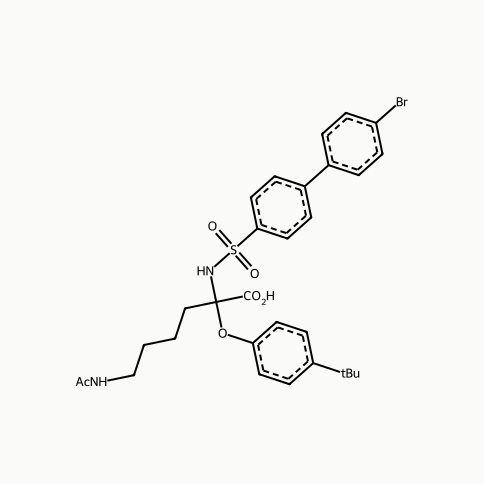 CC(=O)NCCCCC(NS(=O)(=O)c1ccc(-c2ccc(Br)cc2)cc1)(Oc1ccc(C(C)(C)C)cc1)C(=O)O